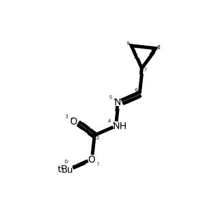 CC(C)(C)OC(=O)N/N=C/C1CC1